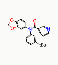 CC(C)(C)c1cccc(N(C(=O)c2cccnc2)c2ccc3c(c2)OCO3)c1